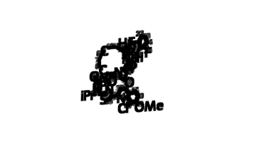 CCCC(=O)N[C@H]1CCCCCCC[C@@H]2C[C@@]2(P(=O)(O)Cc2c(F)cccc2F)NC(=O)[C@@H]2C[C@@H](Oc3cc(-c4csc(NC(C)C)n4)nc4c(Cl)c(OC)ccc34)CN2C1=O